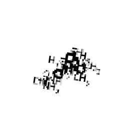 CCN(N)C(=O)Nc1ccc(C(=O)Nc2c3c(cc4c2C(C)(C)CCC4(C)C)C(C)(C)CCC3(C)C)cc1